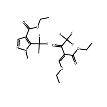 CCOC(=O)c1cnn(C)c1C(F)(F)F.CCOC=C(C(=O)OCC)C(=O)C(F)(F)F